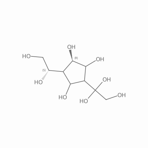 OC[C@@H](O)C1C(O)C(C(O)(O)CO)C(O)[C@@H]1O